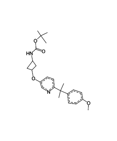 COc1ccc(C(C)(C)c2ccc(OC3CC(NC(=O)OC(C)(C)C)C3)cn2)cc1